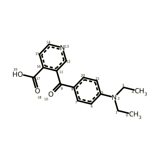 CCN(CC)c1ccc(C(=O)c2cnccc2C(=O)O)cc1